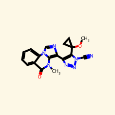 COC1(c2c(-c3ncn4c5ccccc5c(=O)n(C)c34)nnn2C#N)CC1